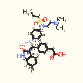 CCCS(=O)(=O)N(CCN(C)C)c1ccc(N/C(=C2\C(=O)Nc3cc(Cl)ccc32)c2ccc(CC(=O)O)cc2)cc1